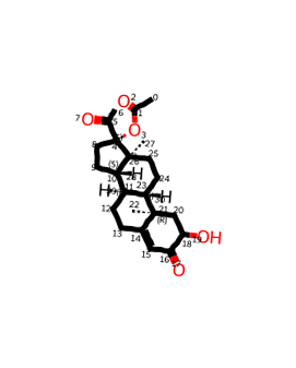 CC(=O)O[C@@]1(C(C)=O)CC[C@H]2[C@@H]3CCC4=CC(=O)C(O)C[C@]4(C)[C@H]3CC[C@@]21C